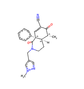 C[C@H]1C(=O)C(C#N)=C[C@]2(c3ccccc3)C(=O)N(Cc3cnn(C)c3)CC[C@H]12